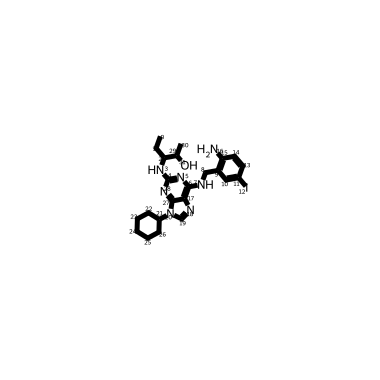 CCC(Nc1nc(NCc2cc(I)ccc2N)c2ncn(C3CCCCC3)c2n1)C(C)O